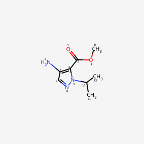 COC(=O)c1c(N)cnn1C(C)C